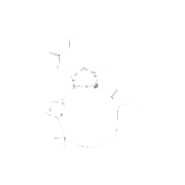 CN1CCCCCC(O)(C(F)(F)F)c2nnc(o2)-c2nc(c(C(F)(F)F)cc2NC(=O)OC(C)(C)C)C1=O